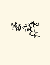 OC1CCC(Nc2cc(Cl)ncc2C#Cc2cnn(C(F)(F)F)c2)CC1